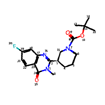 Cn1c([C@@H]2CCCN(C(=O)OC(C)(C)C)C2)nc2cc(F)ccc2c1=O